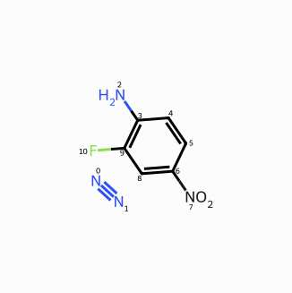 N#N.Nc1ccc([N+](=O)[O-])cc1F